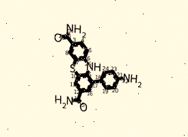 NC(=O)c1ccc2c(c1)Sc1cc(C(N)=O)cc(-c3ccc(N)cc3)c1N2